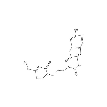 CCOC1=CC(=O)C(CCCOC(=O)Nc2cc3ccc(O)cc3oc2=O)CC1